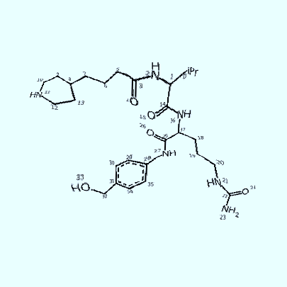 CC(C)C(NC(=O)CCCC1CCNCC1)C(=O)NC(CCCNC(N)=O)C(=O)Nc1ccc(CO)cc1